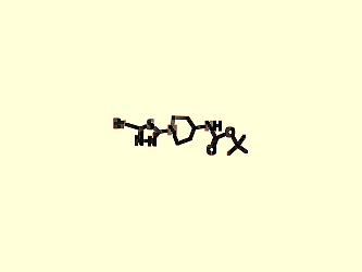 CC(C)(C)OC(=O)NC1CCN(c2nnc(Br)s2)CC1